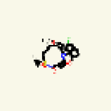 CO[C@H]1/C=C/C[C@@H](C)[C@@H](C2CC2)S(=O)(=O)NC(=O)c2ccc3c(c2)N(C[C@@H]2CC[C@H]21)C[C@@]1(CCCc2cc(Cl)ccc21)CO3